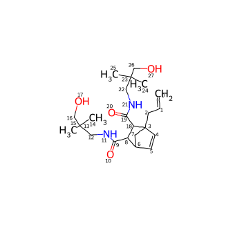 C=CCC12C=CC(C1)C(C(=O)NCC(C)(C)CO)C2C(=O)NCC(C)(C)CO